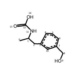 CC(Cc1cccc(CO)c1)NC(=O)O